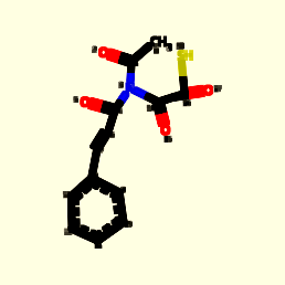 CC(=O)N(C(=O)C=Cc1ccccc1)C(=O)C(=O)S